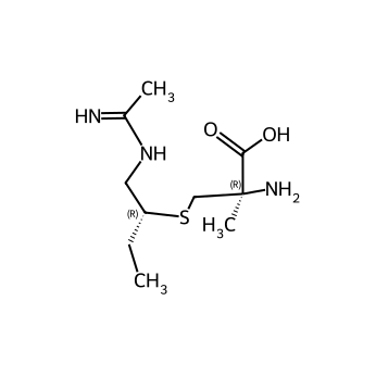 CC[C@H](CNC(C)=N)SC[C@](C)(N)C(=O)O